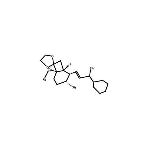 CCO[C@]12CC[C@@H](O)[C@H](/C=C/[C@@H](O)C3CCCCC3)[C@H]1CC21OCCO1